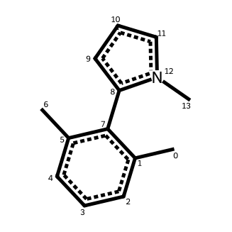 Cc1cccc(C)c1-c1c[c]cn1C